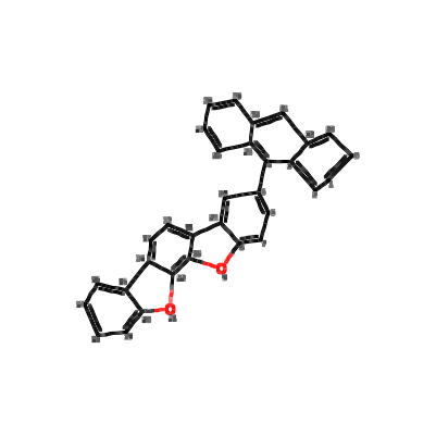 c1ccc2c(-c3ccc4oc5c(ccc6c7ccccc7oc65)c4c3)c3ccccc3cc2c1